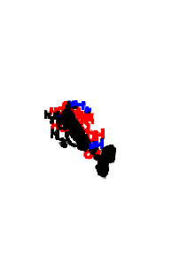 C[C@H]1c2ccc(NC(=O)OCC3c4ccccc4-c4ccccc43)c(O)c2C(=O)C2=C(O)[C@@]3(O)C(=O)C(C(N)=O)=C(O)[C@@H](N(C)C)C3[C@@H](O)C21